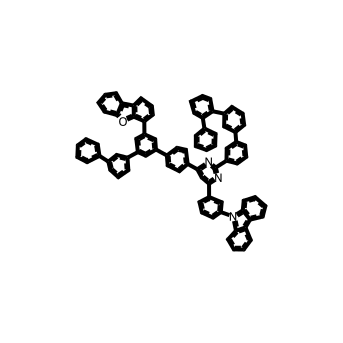 c1ccc(-c2cccc(-c3cc(-c4ccc(-c5cc(-c6cccc(-n7c8ccccc8c8ccccc87)c6)nc(-c6cccc(-c7cccc(-c8ccccc8-c8ccccc8)c7)c6)n5)cc4)cc(-c4cccc5c4oc4ccccc45)c3)c2)cc1